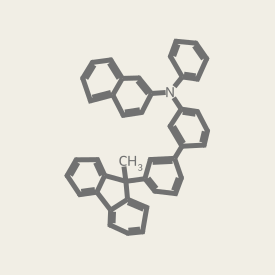 CC1(c2cccc(-c3cccc(N(c4ccccc4)c4ccc5ccccc5c4)c3)c2)c2ccccc2-c2ccccc21